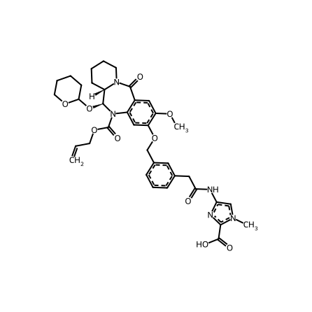 C=CCOC(=O)N1c2cc(OCc3cccc(CC(=O)Nc4cn(C)c(C(=O)O)n4)c3)c(OC)cc2C(=O)N2CCCC[C@H]2[C@@H]1OC1CCCCO1